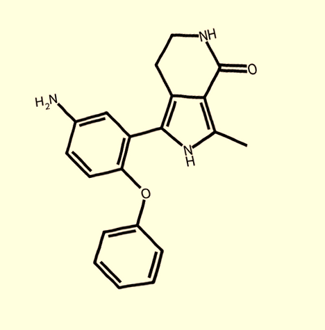 Cc1[nH]c(-c2cc(N)ccc2Oc2ccccc2)c2c1C(=O)NCC2